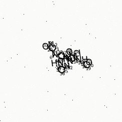 CN1CCC(N(C)c2ccc(-n3ncc(NC[C@H]4CCCOC4)c(Cl)c3=O)cc2)CC1=O.CN[C@@H]1CCCC[C@H]1NC